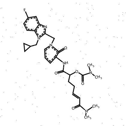 CN(C)C(=O)/C=C/CCC(OC(=O)N(C)C)C(=O)Nc1cccn(Cc2nc3cc(F)ccc3n2CC2CC2)c1=O